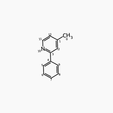 Cc1[c]c(-c2ccccc2)ncc1